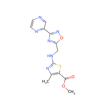 COC(=O)c1sc(NCc2nc(-c3cnccn3)no2)nc1C